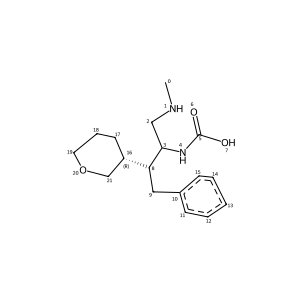 CNCC(NC(=O)O)C(Cc1ccccc1)[C@H]1CCCOC1